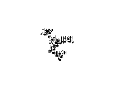 CCP(=O)(CNC)CNCP(=O)(CNC)CNCP(=O)(CNCP(=O)(CC)CNC)CNC(=O)NCP(=O)(CNC)CNC